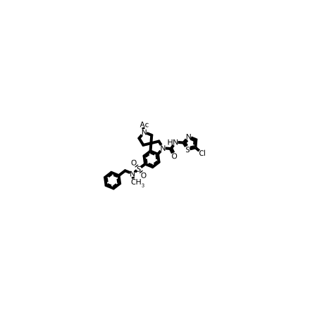 CC(=O)N1CCC2(C1)CN(C(=O)Nc1ncc(Cl)s1)c1ccc(S(=O)(=O)N(C)Cc3ccccc3)cc12